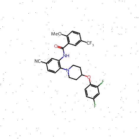 COc1ccc(C(F)(F)F)cc1C(=O)Nc1cc(C#N)ccc1N1CCC(Oc2ccc(F)cc2F)CC1